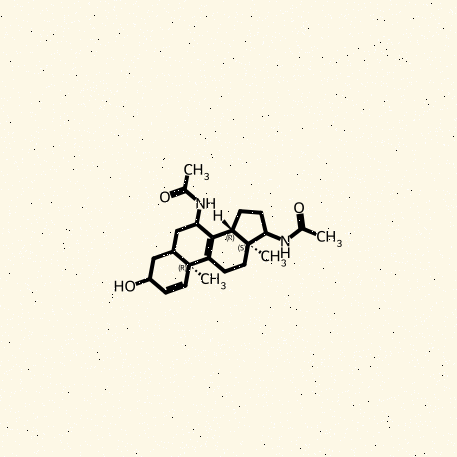 CC(=O)NC1CC2CC(O)C=C[C@]2(C)C2=C1[C@@H]1CCC(NC(C)=O)[C@@]1(C)CC2